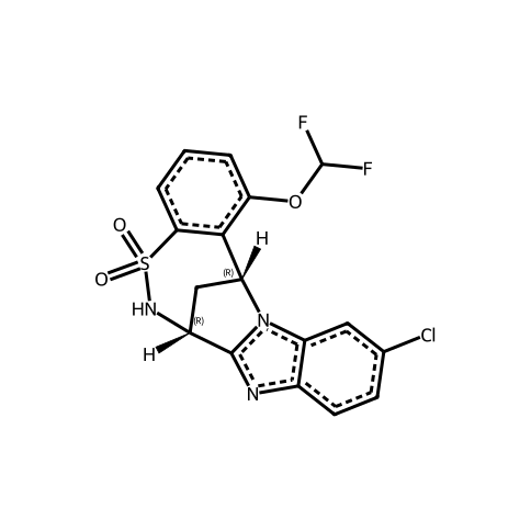 O=S1(=O)N[C@@H]2C[C@H](c3c(OC(F)F)cccc31)n1c2nc2ccc(Cl)cc21